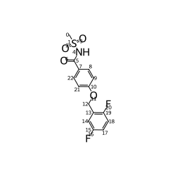 CS(=O)(=O)NC(=O)c1ccc(OCc2cc(F)ccc2F)cc1